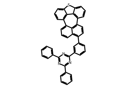 c1ccc(-c2nc(-c3ccccc3)nc(-c3cccc(-c4ccc5c6c(cccc46)-c4cccc6sc7cccc-5c7c46)c3)n2)cc1